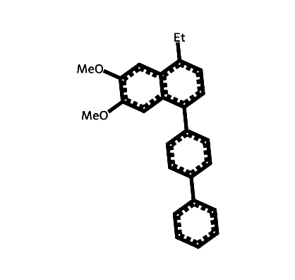 CCc1ccc(-c2ccc(-c3ccccc3)cc2)c2cc(OC)c(OC)cc12